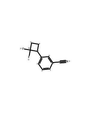 N#Cc1cccc(C2CCC2(F)F)c1